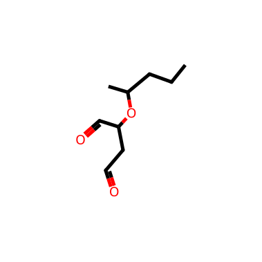 CCCC(C)OC(C=O)CC=O